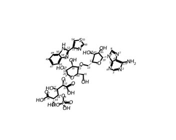 Nc1ncnc2c1ncn2[C@@H]1O[C@H](CO[C@H]2[C@H](O)[C@@H](O)[C@@H](O[C@@H](C(=O)O)[C@H](O)[C@H](OP(=O)(O)O)[C@H](O)C(=O)O)O[C@@H]2CO)[C@@H](O)[C@H]1O.c1ccc2[nH]c(-c3cscn3)nc2c1